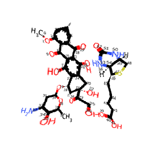 COc1cccc2c1C(=O)c1c(O)c3c(c(O)c1C2=O)C[C@@](O)(C(=O)CO)C[C@@H]3OC1CC(N)C(O)C(C)O1.O=C(O)CCCC[C@@H]1SC[C@@H]2NC(=O)N[C@@H]21